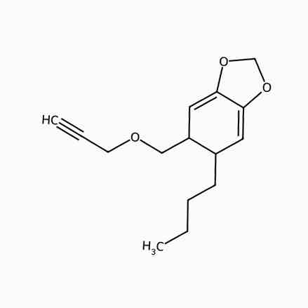 C#CCOCC1C=C2OCOC2=CC1CCCC